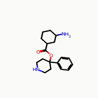 NC1CCCC(C(=O)OC2(c3ccccc3)CCNCC2)C1